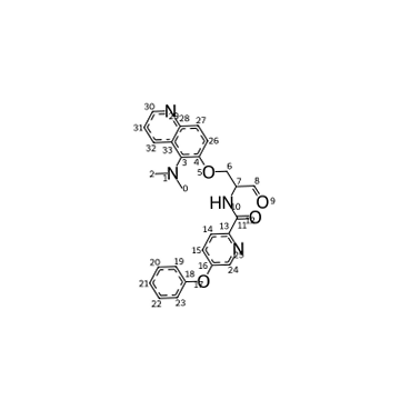 CN(C)c1c(OCC(C=O)NC(=O)c2ccc(Oc3ccccc3)cn2)ccc2ncccc12